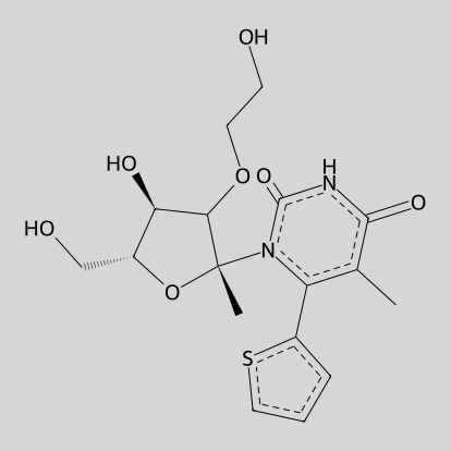 Cc1c(-c2cccs2)n([C@]2(C)O[C@H](CO)[C@@H](O)C2OCCO)c(=O)[nH]c1=O